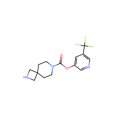 O=C(Oc1cncc(C(F)(F)F)c1)N1CCC2(CC1)CNC2